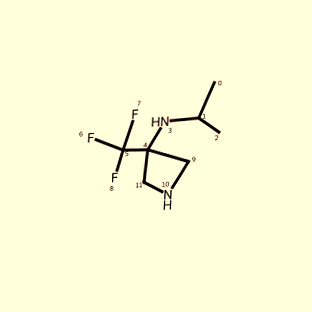 CC(C)NC1(C(F)(F)F)CNC1